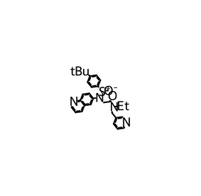 CCN(Cc1cccnc1)C(=O)CN(c1ccc2ncccc2c1)[S+]([O-])c1ccc(C(C)(C)C)cc1